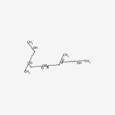 CCCCCCC(O)C/C=C\CCCCCCCC(=O)OC(C/C=C\CCCCCCCC(=O)OCOC(=O)CCCCCCC/C=C\CC(CCCCCC)OC(=O)CCCCCCC/C=C/CC(O)CCCCCC)CCCCCC